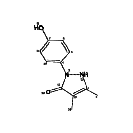 Cc1[nH]n(-c2ccc(O)cc2)c(=O)c1C